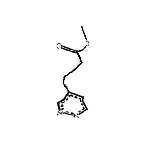 COC(=O)CCc1ccnnc1